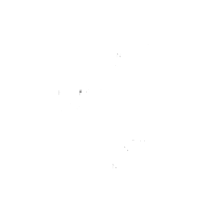 O=C(O)C(F)(F)F.O=C(c1ccc(-c2ccc(CC3CCN(C4CCCCC4)C3=O)c(C(F)(F)F)c2)cc1)N1CCNCC1